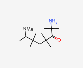 CNC(C)C(C)(C)CC(C)(C)C(=O)C(C)(C)N